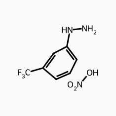 NNc1cccc(C(F)(F)F)c1.O=[N+]([O-])O